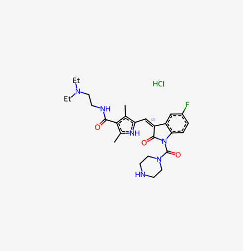 CCN(CC)CCNC(=O)c1c(C)[nH]c(/C=C2\C(=O)N(C(=O)N3CCNCC3)c3ccc(F)cc32)c1C.Cl